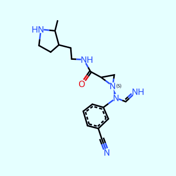 CC1NCCC1CCNC(=O)C1C[N@@]1N(C=N)c1cccc(C#N)c1